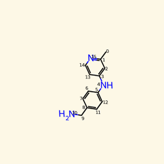 Cc1cc(Nc2ccc(CN)cc2)ccn1